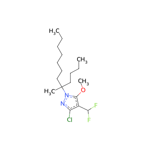 CCCCCCCC(C)(CCCC)n1nc(Cl)c(C(F)F)c1OC